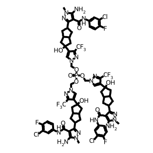 Cn1nc(C2CC3CC(O)(c4cn(COP(=O)(OCn5cc(C6(O)CC7CC(c8nn(C)c(N)c8C(=O)Nc8ccc(F)c(Cl)c8)CC7C6)c(C(F)(F)F)n5)OCn5cc(C6(O)CC7CC(c8nn(C)c(N)c8C(=O)Nc8ccc(F)c(Cl)c8)CC7C6)c(C(F)(F)F)n5)nc4C(F)(F)F)CC3C2)c(C(=O)Nc2ccc(F)c(Cl)c2)c1N